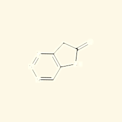 O=C1Cc2nnncc2N1